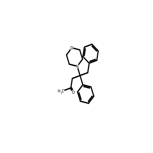 CC(=O)CC(Cc1ccccc1)(c1ccccc1)N1CCOCC1